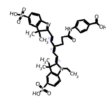 CCN1/C(=C/C=C(/C=C/C2=Nc3ccc(S(=O)(=O)O)cc3C2(C)C)CCC(=O)Nc2ccc(C(=O)O)cc2)C(C)(C)c2cc(S(=O)(=O)O)ccc21